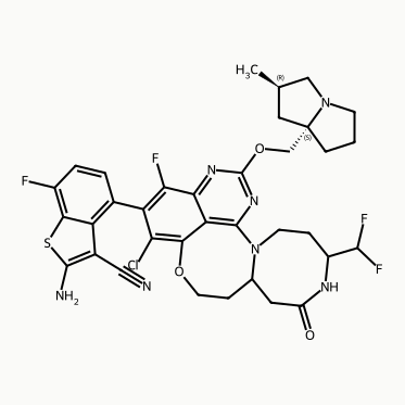 C[C@H]1CN2CCC[C@@]2(COc2nc3c4c(c(Cl)c(-c5ccc(F)c6sc(N)c(C#N)c56)c(F)c4n2)OCCC2CC(=O)NC(C(F)F)CCN32)C1